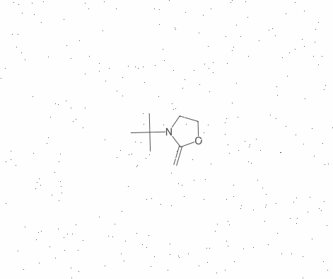 C=C1OCCN1C(C)(C)C